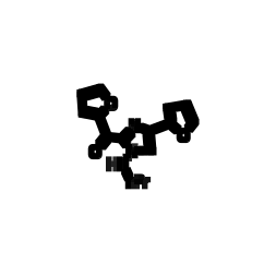 CCCNn1cc(-c2ccco2)nc1C(=O)c1ccco1